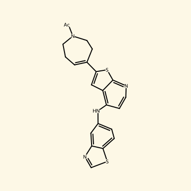 CC(=O)N1CCC=C(c2cc3c(Nc4ccc5scnc5c4)ccnc3s2)CC1